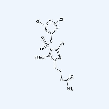 CCCCCCn1c(CCOC(N)=O)nc(C(C)C)c1S(=O)(=O)Oc1cc(Cl)cc(Cl)c1